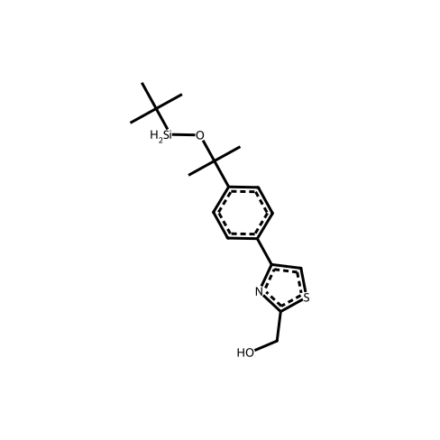 CC(C)(C)[SiH2]OC(C)(C)c1ccc(-c2csc(CO)n2)cc1